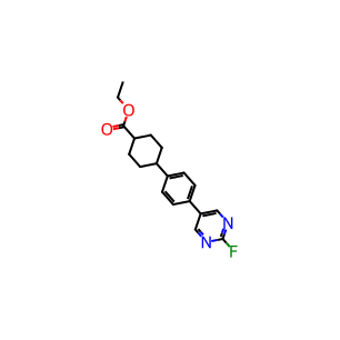 CCOC(=O)C1CCC(c2ccc(-c3cnc(F)nc3)cc2)CC1